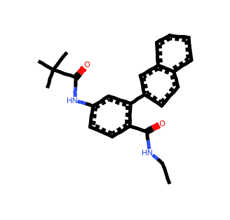 CCNC(=O)c1ccc(NC(=O)C(C)(C)C)cc1-c1ccc2ccccc2c1